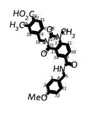 COc1ccc(CNC(=O)c2ccc3c(c2)c(=O)n(Cc2ccc(C(=O)O)c(C)c2)c(=O)n3C)cc1